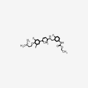 C=C(/C=C\C(=O)NCc1cc(NC(=O)OCC)ccc1F)c1cc(F)c(OCCN(C)C)c(F)c1